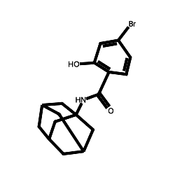 O=C(NC12CC3CC(CC(C3)C1)C2)c1ccc(Br)cc1O